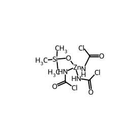 C[Si](C)(C)[O][Zn]([NH]C(=O)Cl)([NH]C(=O)Cl)[NH]C(=O)Cl